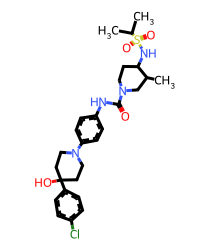 CC1CN(C(=O)Nc2ccc(N3CCC(O)(c4ccc(Cl)cc4)CC3)cc2)CCC1NS(=O)(=O)C(C)C